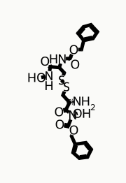 N[C@@H](CSSCC(NC(=O)OCc1ccccc1)C(=O)NO)C(=O)N(O)C(=O)OCc1ccccc1